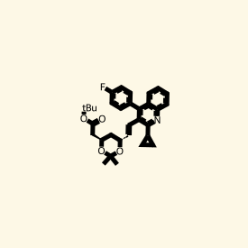 CC(C)(C)OC(=O)C[C@H]1C[C@H](C=Cc2c(C3CC3)nc3ccccc3c2-c2ccc(F)cc2)OC(C)(C)O1